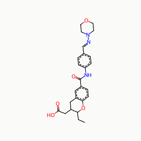 CCC1Oc2ccc(C(=O)Nc3ccc(C=NN4CCOCC4)cc3)cc2CC1CC(=O)O